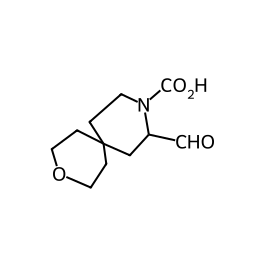 O=CC1CC2(CCOCC2)CCN1C(=O)O